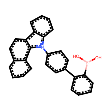 OB(O)c1ccccc1-c1ccc(-n2c3ccccc3c3ccc4ccccc4c32)cc1